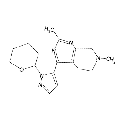 Cc1nc2c(c(-c3ccnn3C3CCCCO3)n1)CCN(C)C2